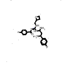 NC(CC(N)c1ccc(F)cc1)N/C(=N\C(=O)c1ccc(F)cc1)NCC1CCO1